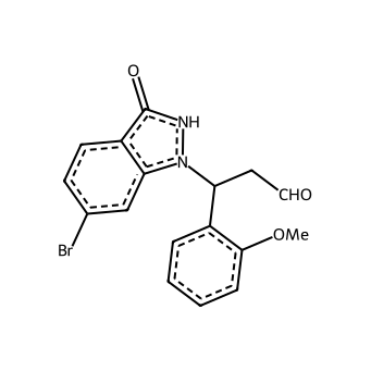 COc1ccccc1C(CC=O)n1[nH]c(=O)c2ccc(Br)cc21